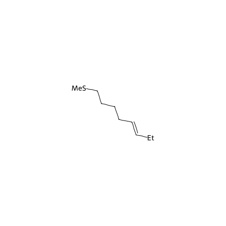 [CH2]C/C=C/CCCCSC